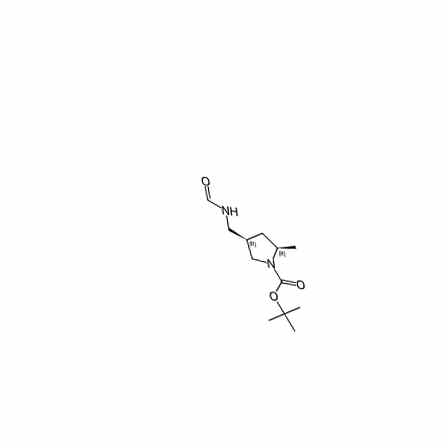 C[C@@H]1C[C@H](CNC=O)CN1C(=O)OC(C)(C)C